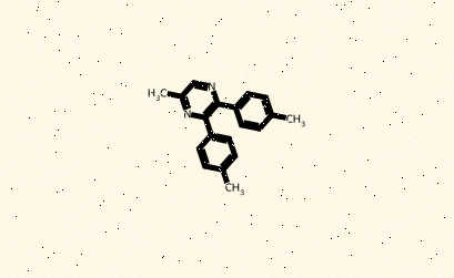 Cc1ccc(-c2ncc(C)nc2-c2ccc(C)cc2)cc1